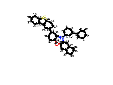 c1ccc(-c2cccc(N3c4cc(-c5ccc6sc7ccccc7c6c5)ccc4Oc4cc5ccccc5cc43)c2)cc1